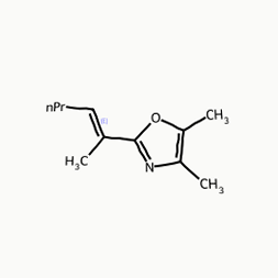 CCC/C=C(\C)c1nc(C)c(C)o1